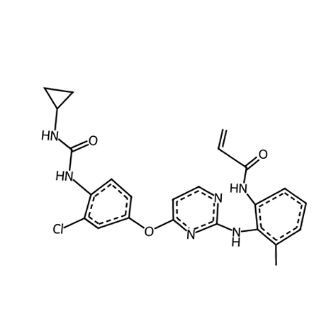 C=CC(=O)Nc1cccc(C)c1Nc1nccc(Oc2ccc(NC(=O)NC3CC3)c(Cl)c2)n1